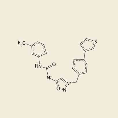 O=C([N-]c1c[n+](Cc2ccc(-c3ccsc3)cc2)no1)Nc1cccc(C(F)(F)F)c1